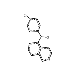 Clc1ccc(C(Cl)c2cccc3cnccc23)cc1